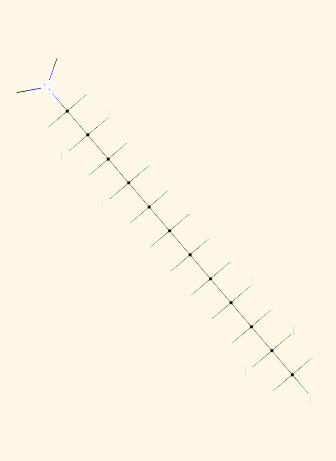 C[N+](C)C(F)(F)C(F)(F)C(F)(F)C(F)(F)C(F)(F)C(F)(F)C(F)(F)C(F)(F)C(F)(F)C(F)(F)C(F)(F)C(F)(F)F